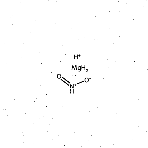 O=[NH+][O-].[H+].[MgH2]